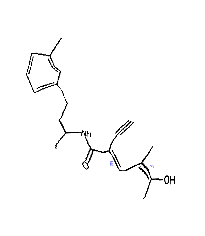 C#C/C(=C\C(C)=C(/C)O)C(=O)NC(C)CCc1cccc(C)c1